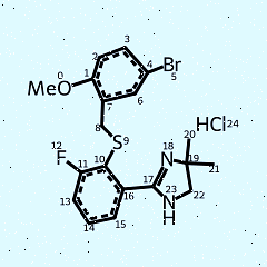 COc1ccc(Br)cc1CSc1c(F)cccc1C1=NC(C)(C)CN1.Cl